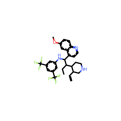 C=CC1CNCCC1C(CC)C(Nc1cc(C(F)(F)F)cc(C(F)(F)F)c1)c1ccnc2ccc(OC)cc12